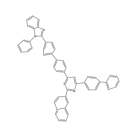 c1ccc(-c2ccc(-c3cc(-c4ccc(-c5ccc(-c6nc7ccccc7n6-c6ccccc6)cc5)cc4)nc(-c4ccc5ccccc5c4)n3)cc2)cc1